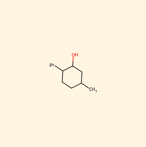 CC1CCC(C(C)C)[C](O)C1